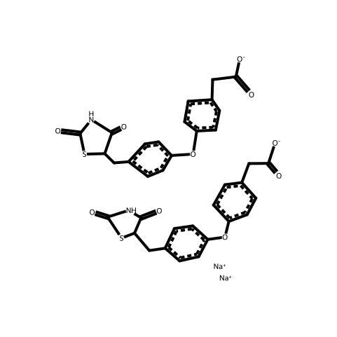 O=C([O-])Cc1ccc(Oc2ccc(CC3SC(=O)NC3=O)cc2)cc1.O=C([O-])Cc1ccc(Oc2ccc(CC3SC(=O)NC3=O)cc2)cc1.[Na+].[Na+]